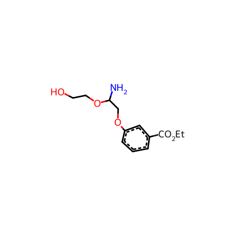 CCOC(=O)c1cccc(OCC(N)OCCO)c1